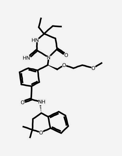 CCC1(CC)CC(=O)N([C@@H](COCCOC)c2cccc(C(=O)N[C@H]3CC(C)(C)Oc4ccccc43)c2)C(=N)N1